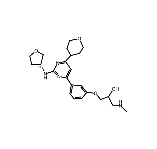 CNCC(O)COc1cccc(-c2cc(C3CCOCC3)nc(N[C@@H]3CCOC3)n2)c1